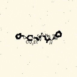 CCOC(=O)c1nc(N(C)c2cc(C)c(Nc3nc4ccccc4s3)nn2)sc1N1CCC(OCc2ccccc2)CC1